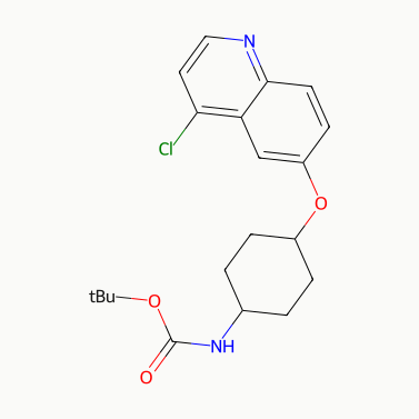 CC(C)(C)OC(=O)NC1CCC(Oc2ccc3nccc(Cl)c3c2)CC1